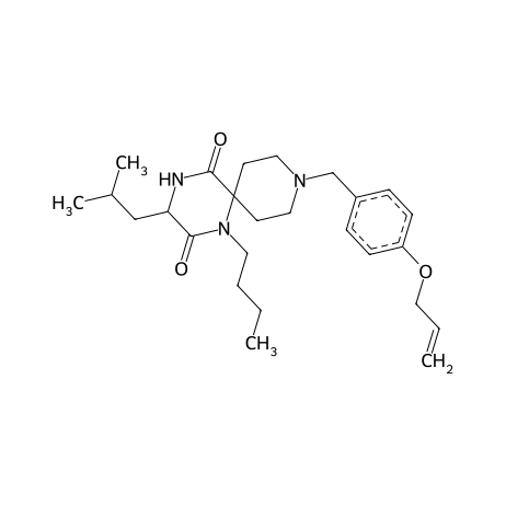 C=CCOc1ccc(CN2CCC3(CC2)C(=O)NC(CC(C)C)C(=O)N3CCCC)cc1